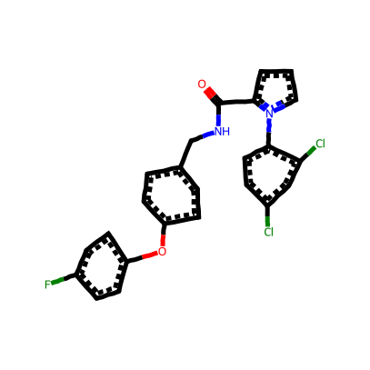 O=C(NCc1ccc(Oc2ccc(F)cc2)cc1)c1cccn1-c1ccc(Cl)cc1Cl